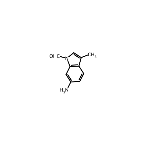 Cc1cn(C=O)c2cc(N)ccc12